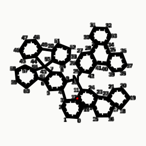 c1ccc(-c2cc3c(cc2N(c2ccc4ccc5ccccc5c4c2)c2ccc4c5ccccc5c5ccccc5c4c2)C2(c4ccccc4-c4ccccc42)c2ccccc2-3)cc1